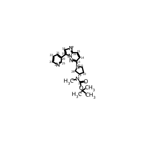 CN(C(=O)OC(C)(C)C)[C@H]1CCN(c2ccc3ncc(-c4cccnc4)n3n2)C1